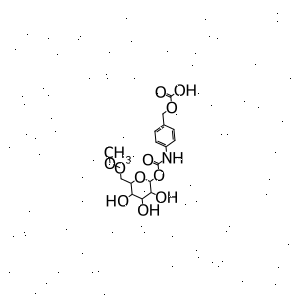 COOCC1OC(OC(=O)Nc2ccc(COC(=O)O)cc2)C(O)C(O)C1O